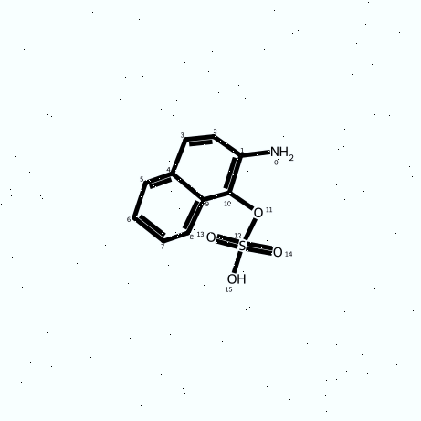 Nc1ccc2ccccc2c1OS(=O)(=O)O